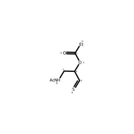 CCC(=O)OC(C=S)CNC(C)=O